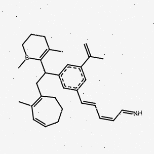 C=C(C)c1cc(/C=C/C=C\C=N)cc(C(CC2=C(C)C=CCCC2)C2=C(C)CCCB2C)c1